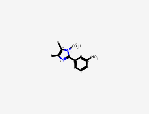 Cc1nc(-c2cccc([N+](=O)[O-])c2)n(C(=O)O)c1C